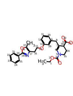 CCOC(=O)N1C=C(Cc2cccc(OCCc3nc(-c4ccccc4)oc3C)c2)C(C(=O)O)CC1